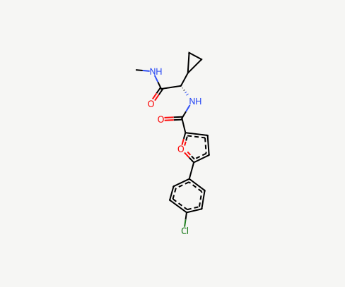 CNC(=O)[C@@H](NC(=O)c1ccc(-c2ccc(Cl)cc2)o1)C1CC1